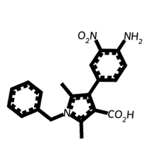 Cc1c(C(=O)O)c(-c2ccc(N)c([N+](=O)[O-])c2)c(C)n1Cc1ccccc1